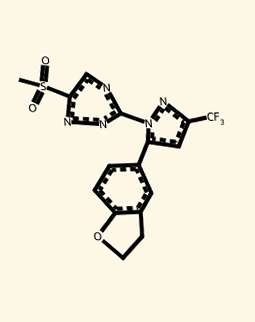 CS(=O)(=O)c1cnc(-n2nc(C(F)(F)F)cc2-c2ccc3c(c2)CCO3)nn1